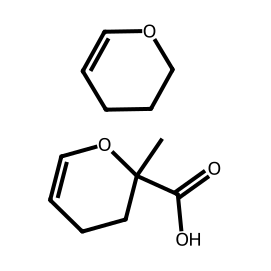 C1=COCCC1.CC1(C(=O)O)CCC=CO1